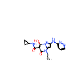 CC(C)(C)Cn1c(=O)c(C(=O)NC2CC2)c(O)n2nc(Nc3cccnn3)cc12